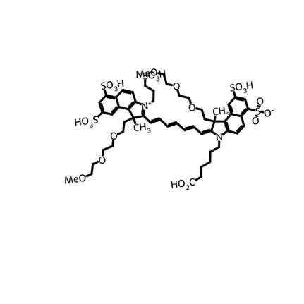 COCCOCCOCCC1(C)C(/C=C/C=C/C=C/C=C2/N(CCCCCC(=O)O)c3ccc4c(S(=O)(=O)[O-])cc(S(=O)(=O)O)cc4c3C2(C)CCOCCOCCOC)=[N+](CCCS(=O)(=O)O)c2ccc3c(S(=O)(=O)O)cc(S(=O)(=O)O)cc3c21